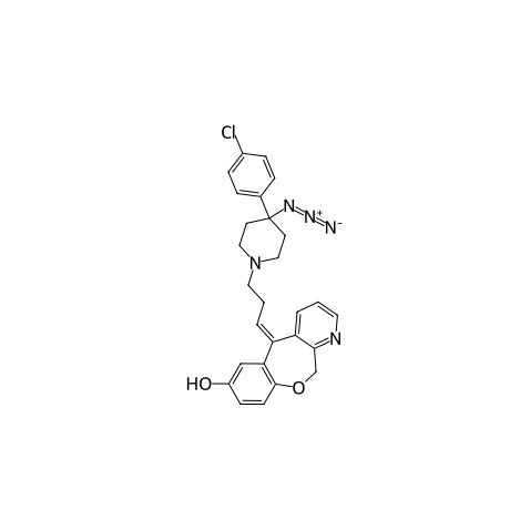 [N-]=[N+]=NC1(c2ccc(Cl)cc2)CCN(CCC=C2c3cc(O)ccc3OCc3ncccc32)CC1